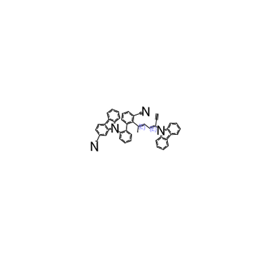 C#C/C(=C\C=C(/C)c1c(C#N)cccc1-c1ccccc1-n1c2ccccc2c2ccc(C#N)cc21)n1c2ccccc2c2ccccc21